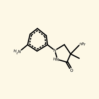 CCCC1(C)CN(c2cccc(N)c2)NC1=O